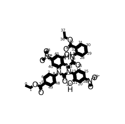 CCOC(=O)c1ccc(NC(=O)N(c2ccc([N+](=O)[O-])cc2O)N(C(=O)Nc2ccccc2C(=O)OCC)c2ccc([N+](=O)[O-])cc2O)cc1